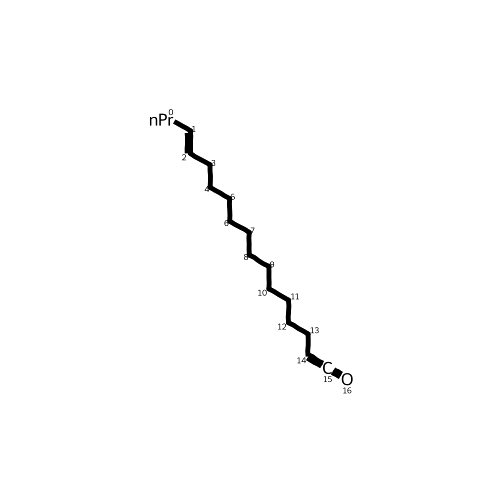 CCC/C=C/CCCCCCCCCCCC=C=O